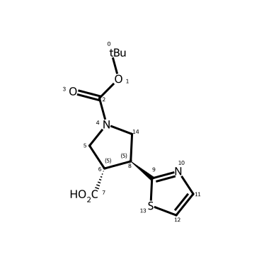 CC(C)(C)OC(=O)N1C[C@@H](C(=O)O)[C@H](c2nccs2)C1